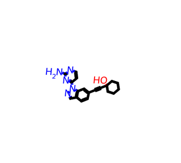 Nc1nccc(-n2ncc3ccc(C#CC4(O)CCCCC4)cc32)n1